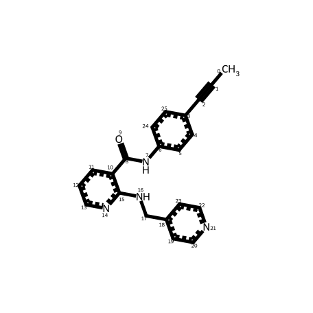 CC#Cc1ccc(NC(=O)c2cccnc2NCc2ccncc2)cc1